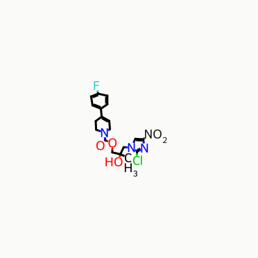 CC(O)(COC(=O)N1CC=C(c2ccc(F)cc2)CC1)Cn1cc([N+](=O)[O-])nc1Cl